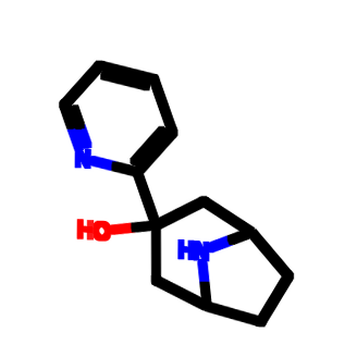 OC1(c2ccccn2)CC2CCC(C1)N2